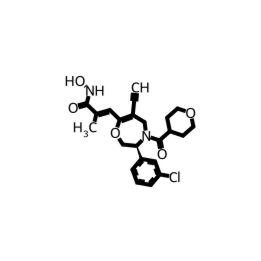 C#CC1=C(/C=C(\C)C(=O)NO)OC[C@H](c2cccc(Cl)c2)N(C(=O)C2CCOCC2)C1